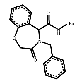 CC(C)(C)NC(=O)C1c2ccccc2OCC(=O)N1Cc1ccccc1